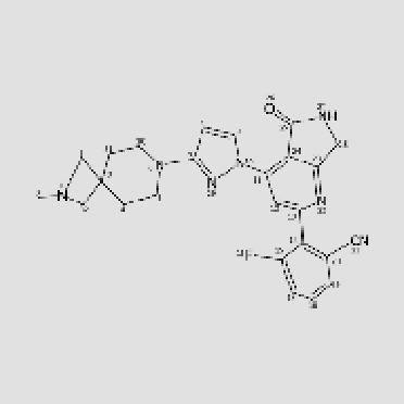 CN1CC2(CCN(c3ccn(-c4cc(-c5c(F)cccc5C#N)nc5c4C(=O)NC5)n3)CC2)C1